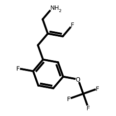 NCC(=CF)Cc1cc(OC(F)(F)F)ccc1F